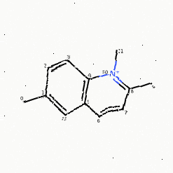 Cc1ccc2c(ccc(C)[n+]2C)c1